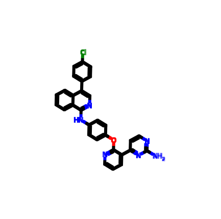 Nc1nccc(-c2cccnc2Oc2ccc(Nc3ncc(-c4ccc(Cl)cc4)c4ccccc34)cc2)n1